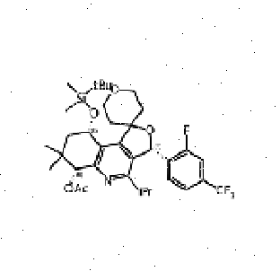 CC(=O)O[C@H]1c2nc(C(C)C)c3c(c2[C@@H](O[Si](C)(C)C(C)(C)C)CC1(C)C)C1(CCOCC1)O[C@@H]3c1ccc(C(F)(F)F)cc1F